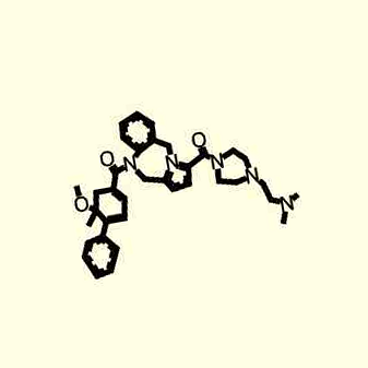 COC1(C)CC(C(=O)N2Cc3ccc(C(=O)N4CCN(CCN(C)C)CC4)n3Cc3ccccc32)=CC=C1c1ccccc1